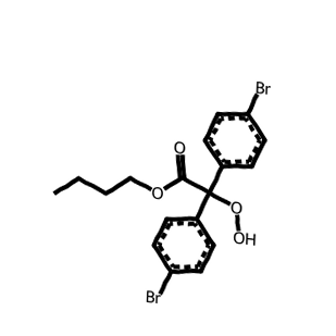 CCCCOC(=O)C(OO)(c1ccc(Br)cc1)c1ccc(Br)cc1